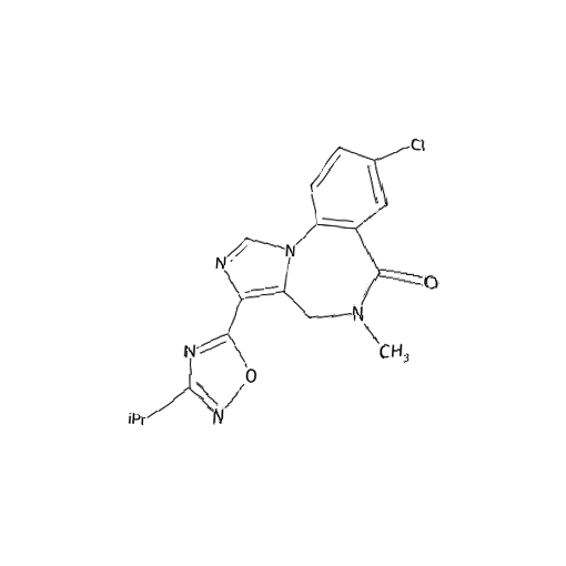 CC(C)c1noc(-c2ncn3c2CN(C)C(=O)c2cc(Cl)ccc2-3)n1